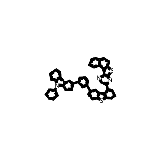 c1ccc(-n2c3ccccc3c3cc(-c4cccc(-c5ccc6sc7cccc(-c8cnc9c(n8)sc8ccc%10ccccc%10c89)c7c6c5)c4)ccc32)cc1